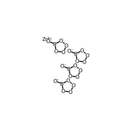 [O-]B1OOOO1.[O-]B1OOOO1.[O-]B1OOOO1.[O-]B1OOOO1.[Zr+4]